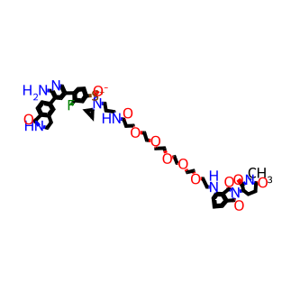 CN1C(=O)CCC(N2C(=O)c3cccc(NCCOCCOCCOCCOCCOCCC(=O)NCCCN(C4CC4)[S+]([O-])c4ccc(-c5cnc(N)c(-c6ccc7c(c6)CCNC7=O)c5)c(F)c4)c3C2=O)C1=O